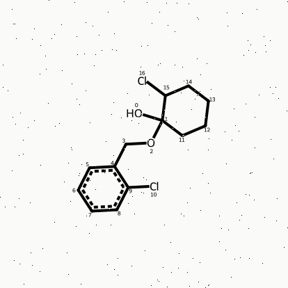 OC1(OCc2ccccc2Cl)CCCCC1Cl